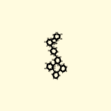 c1ccc2c(c1)-c1ccccc1-c1ccc(-c3ccc(-c4cccc5c4sc4ccncc45)cc3)cc1-c1ccccc1-2